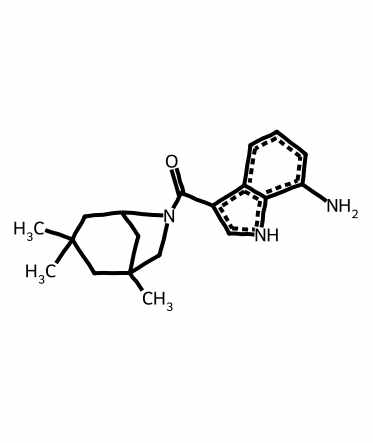 CC1(C)CC2CC(C)(CN2C(=O)c2c[nH]c3c(N)cccc23)C1